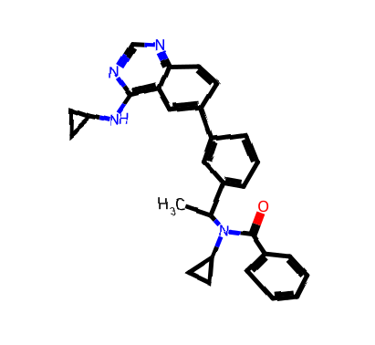 CC(c1cccc(-c2ccc3ncnc(NC4CC4)c3c2)c1)N(C(=O)c1ccccc1)C1CC1